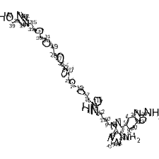 Nc1nc2cc(-c3nn(CCCCNC(=O)CCOCCOCCOCCOCCOCCOCCn4cc(CO)nn4)c4ncnc(N)c34)ccc2o1